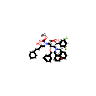 CC(C)(C)OC(=O)N(C[C@@H](O)CCC1CCCCC1)[C@H](CO)[C@@H](OCc1ccccc1)[C@H](Cc1cc(F)cc(F)c1)N(Cc1ccccc1)Cc1ccccc1